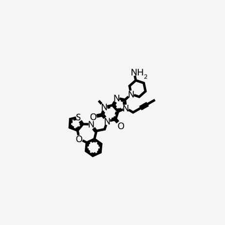 CC#CCn1c(N2CCCC(N)C2)nc2c1c(=O)n(CC1=Nc3sccc3Oc3ccccc31)c(=O)n2C